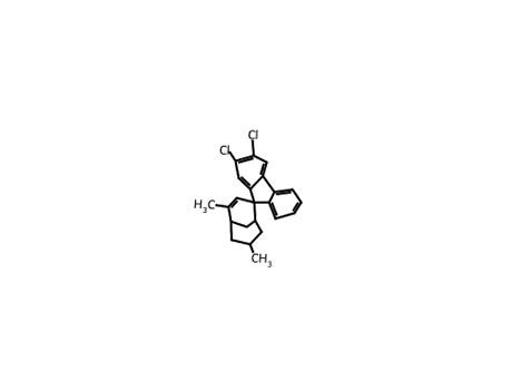 CC1=CC2(c3ccccc3-c3cc(Cl)c(Cl)cc32)C2CC(C)CC1C2